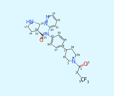 O=C(CC(F)(F)F)N1CCC(c2ccc(N(C(=O)[C@H]3CCNC3)c3cccnn3)cc2)CC1